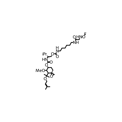 COC1C(OC(=O)N[C@@H](COC(=O)NCCCCCCNC(=O)CNOF)C(C)C)CC[C@]2(CO2)C1C(C)(C)OCC=C(C)C